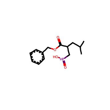 CC(C)CC(C[PH](=O)O)C(=O)OCc1ccccc1